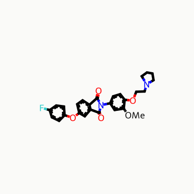 COc1cc(N2C(=O)c3ccc(Oc4ccc(F)cc4)cc3C2=O)ccc1OCCN1CCCC1